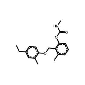 CCc1ccc(OCc2c(I)cccc2OC(=O)NC)c(C)c1